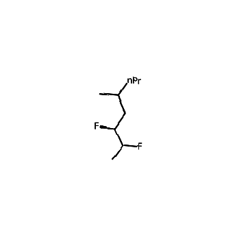 CCCC(C)C[C@H](F)C(C)F